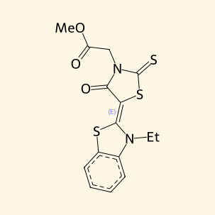 CCN1/C(=C2\SC(=S)N(CC(=O)OC)C2=O)Sc2ccccc21